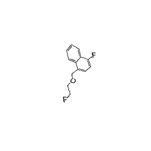 FCCOCc1ccc(F)c2ccccc12